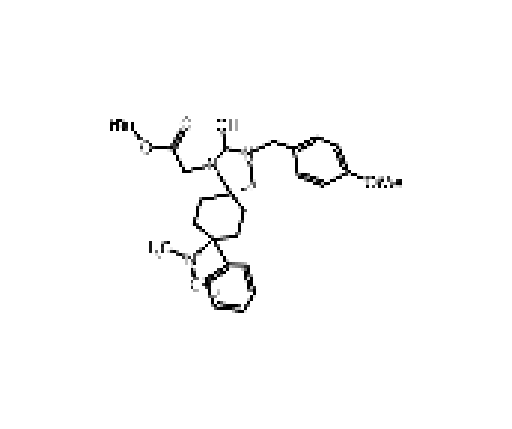 COc1ccc(CN2C[C@]3(CC[C@](c4ccccc4)(N(C)C)CC3)N(CC(=O)OC(C)(C)C)C2O)cc1